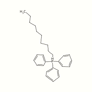 CCCCCCCCCC[PH](c1ccccc1)(c1ccccc1)c1ccccc1